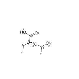 CC(O)C(=O)O.CCCC(=O)O